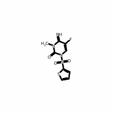 Cn1c(=N)c(F)cn(S(=O)(=O)c2cccs2)c1=O